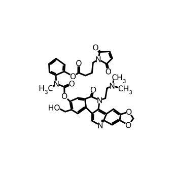 CN(C)CCn1c(=O)c2cc(OC(=O)N(C)c3ccccc3OC(=O)CCCN3C(=O)C=CC3=O)c(CO)cc2c2cnc3cc4c(cc3c21)OCO4